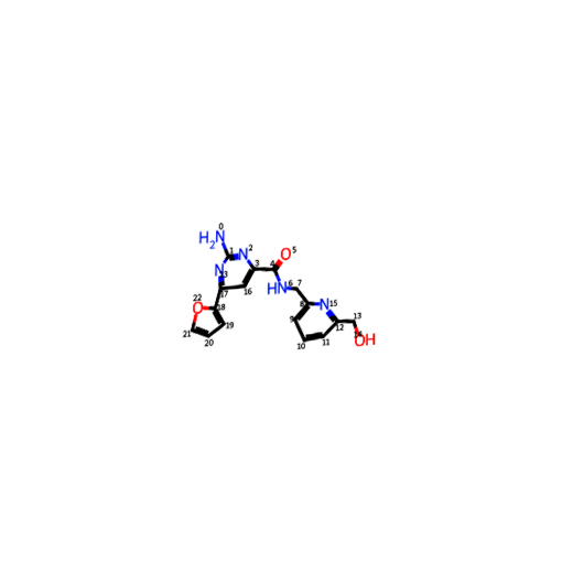 Nc1nc(C(=O)NCc2cccc(CO)n2)cc(-c2ccco2)n1